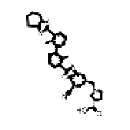 Cc1c(-c2nc3cc(CN4CC[C@H](C(=O)O)C4)cc(C#N)c3o2)cccc1-c1cccc(-c2nc3c(s2)CCCC3)c1C